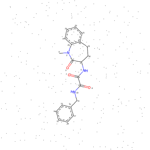 CN1C(=O)C(NC(=O)C(=O)NCc2ccccc2)CCc2ccccc21